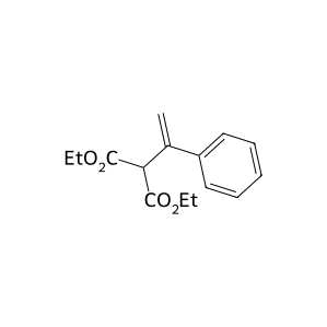 C=C(c1ccccc1)C(C(=O)OCC)C(=O)OCC